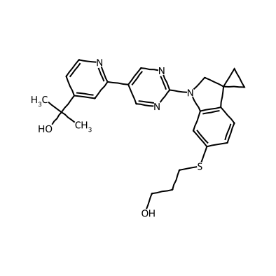 CC(C)(O)c1ccnc(-c2cnc(N3CC4(CC4)c4ccc(SCCCO)cc43)nc2)c1